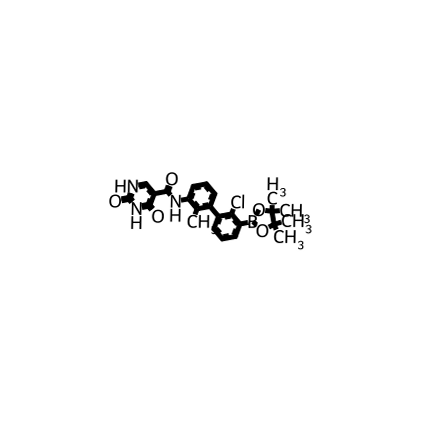 Cc1c(NC(=O)c2c[nH]c(=O)[nH]c2=O)cccc1-c1cccc(B2OC(C)(C)C(C)(C)O2)c1Cl